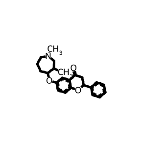 CC1CN(C)CCCC1Oc1ccc2c(c1)C(=O)CC(c1ccccc1)O2